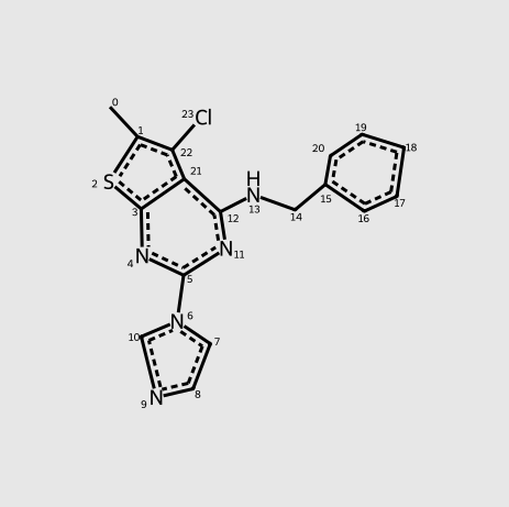 Cc1sc2nc(-n3ccnc3)nc(NCc3ccccc3)c2c1Cl